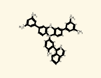 Cc1cc(C)cc(-c2ccc3c(c2)Oc2cc(-c4cc(C)cc(C)c4)ccc2N3c2ccc(C)c(-c3nccc4ccccc34)c2)c1